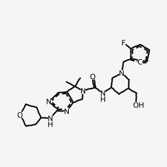 CC1(C)c2cnc(NC3CCOCC3)nc2CN1C(=O)NC1CC(CO)CN(Cc2ccccc2F)C1